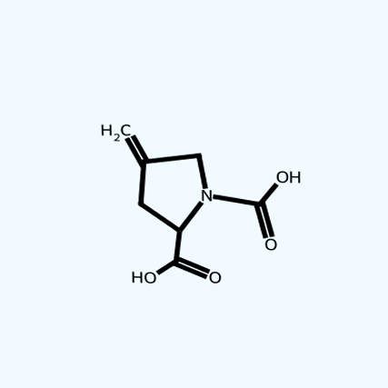 C=C1CC(C(=O)O)N(C(=O)O)C1